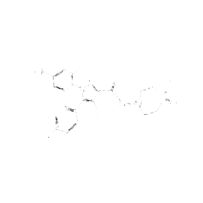 Cc1c(C(=O)NN2CCS(=O)(=O)CC2)nn(-c2ccc(Cl)cc2Cl)c1-c1ccc(Cl)cc1